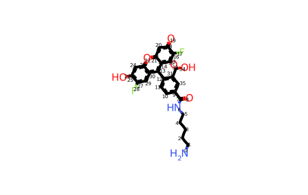 NCCCCCNC(=O)c1ccc(-c2c3cc(F)c(=O)cc-3oc3cc(O)c(F)cc23)c(C(=O)O)c1